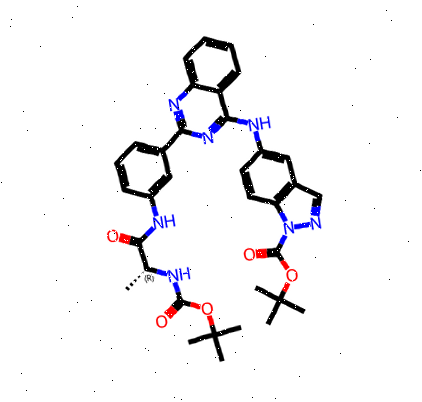 C[C@@H](NC(=O)OC(C)(C)C)C(=O)Nc1cccc(-c2nc(Nc3ccc4c(cnn4C(=O)OC(C)(C)C)c3)c3ccccc3n2)c1